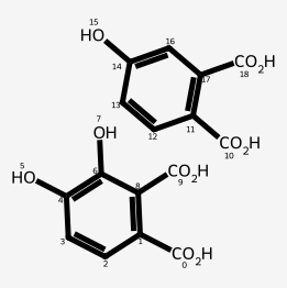 O=C(O)c1ccc(O)c(O)c1C(=O)O.O=C(O)c1ccc(O)cc1C(=O)O